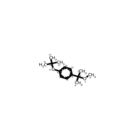 COC(C)(C)c1ccc(OC(C)(C)C)cc1